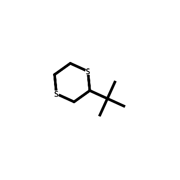 CC(C)(C)C1CSCCS1